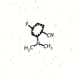 CN(C)c1cc(F)ccc1C#N